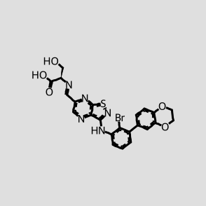 O=C(O)[C@@H](CO)N=Cc1cnc2c(Nc3cccc(-c4ccc5c(c4)OCCO5)c3Br)nsc2n1